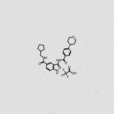 O=C(NCC1CCCC1)c1ccc2[nH]nc(NC(=O)c3ccc(N4CCOCC4)cc3)c2c1.O=C(O)C(F)(F)F